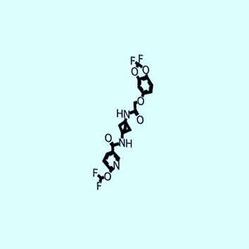 O=C(COc1ccc2c(c1)OC(F)(F)O2)NC12CC(NC(=O)c3ccc(OC(F)F)nc3)(C1)C2